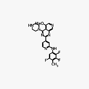 COc1cncc2nc(-c3ccnc(Nc4cc(F)c(C)c(F)c4F)c3)nc(N3CCNCC3)c12